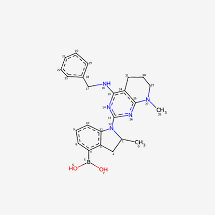 CC1Cc2c(B(O)O)cccc2N1c1nc(NCc2ccccc2)c2c(n1)N(C)CCC2